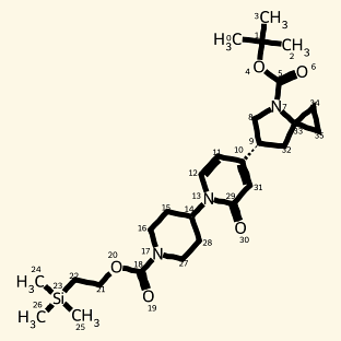 CC(C)(C)OC(=O)N1C[C@@H](c2ccn(C3CCN(C(=O)OCC[Si](C)(C)C)CC3)c(=O)c2)CC12CC2